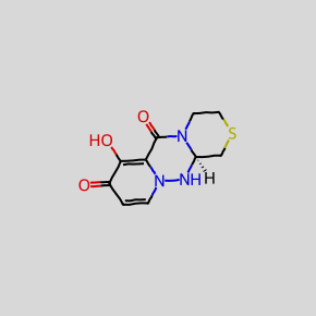 O=C1c2c(O)c(=O)ccn2N[C@@H]2CSCCN12